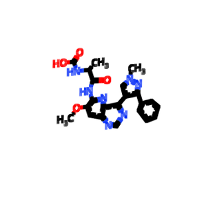 COc1cc2ncnc(-c3cn(C)nc3-c3ccccc3)c2nc1NC(=O)C(C)NC(=O)O